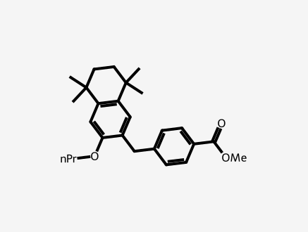 CCCOc1cc2c(cc1Cc1ccc(C(=O)OC)cc1)C(C)(C)CCC2(C)C